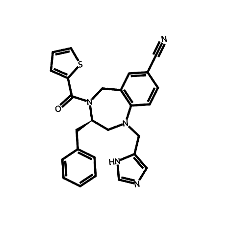 N#Cc1ccc2c(c1)CN(C(=O)c1cccs1)[C@H](Cc1ccccc1)CN2Cc1cnc[nH]1